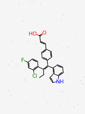 CCC(=C(c1ccc(/C=C/C(=O)O)cc1)c1cccc2[nH]ccc12)c1ccc(F)cc1Cl